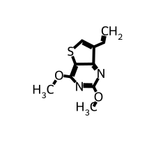 C=Cc1csc2c(OC)nc(OC)nc12